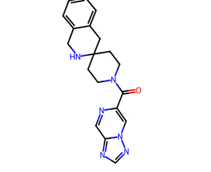 O=C(c1cn2ncnc2cn1)N1CCC2(CC1)Cc1ccccc1CN2